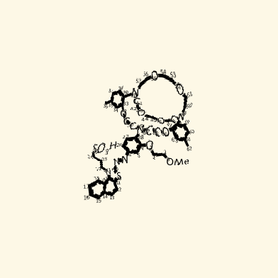 COCCOc1cc(/N=N/c2sc3ccc4ccccc4c3[n+]2CCCS(=O)(=O)O)ccc1N1CCOc2cc(C)ccc2N2CCOCCOCCN(CCOCCOCC2)c2ccc(C)cc2OCC1